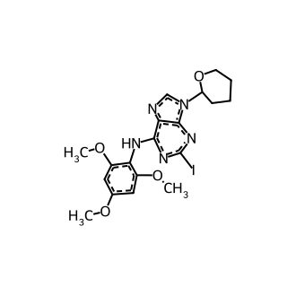 COc1cc(OC)c(Nc2nc(I)nc3c2ncn3C2CCCCO2)c(OC)c1